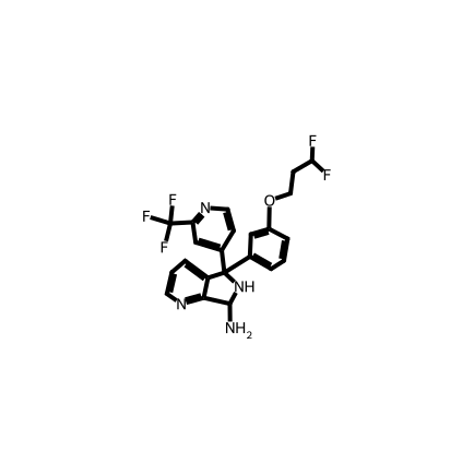 NC1NC(c2cccc(OCCC(F)F)c2)(c2ccnc(C(F)(F)F)c2)c2cccnc21